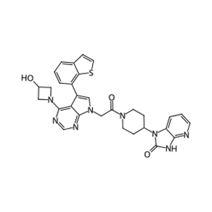 O=C(Cn1cc(-c2cccc3ccsc23)c2c(N3CC(O)C3)ncnc21)N1CCC(n2c(=O)[nH]c3ncccc32)CC1